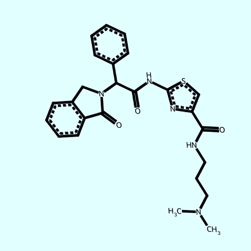 CN(C)CCCNC(=O)c1csc(NC(=O)C(c2ccccc2)N2Cc3ccccc3C2=O)n1